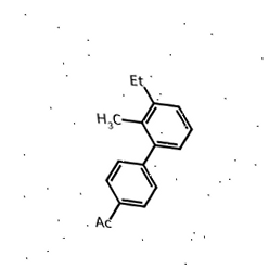 CCc1cccc(-c2ccc(C(C)=O)cc2)c1C